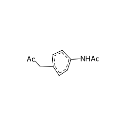 CC(=O)Cc1ccc(NC(C)=O)cc1